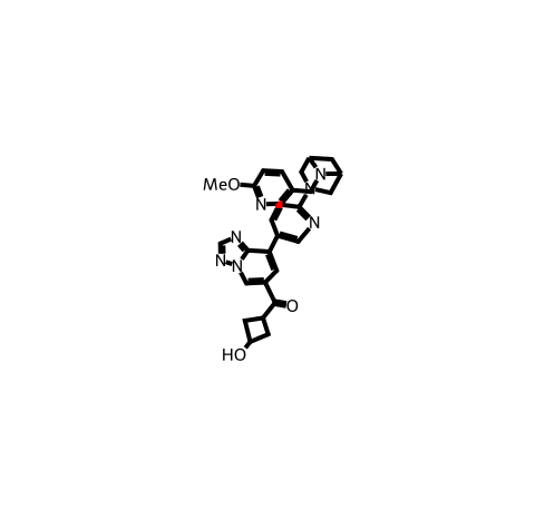 COc1ccc(CN2C3CC2CN(c2ccc(-c4cc(C(=O)C5CC(O)C5)cn5ncnc45)cn2)C3)cn1